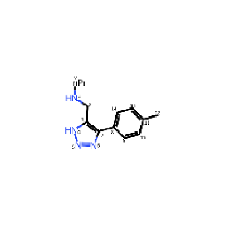 CCCNCc1[nH]nnc1-c1ccc(C)cc1